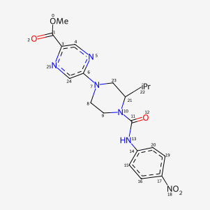 COC(=O)c1cnc(N2CCN(C(=O)Nc3ccc([N+](=O)[O-])cc3)C(C(C)C)C2)cn1